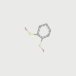 ISc1ccccc1SI